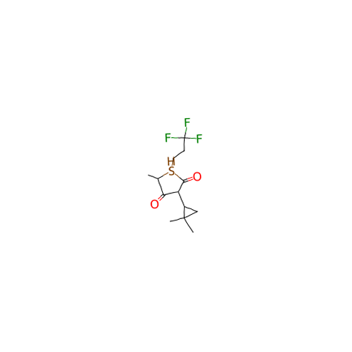 CC1C(=O)C(C2CC2(C)C)C(=O)[SH]1CCC(F)(F)F